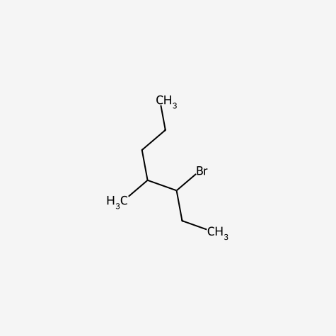 CCCC(C)C(Br)CC